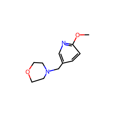 COc1ccc(CN2CCOCC2)cn1